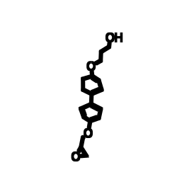 OCCCOC1=CC=C(c2ccc(OCC3CO3)cc2)CC1